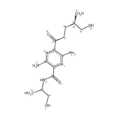 Nc1nc(C(=O)NC(CO)C(=O)O)c(N)nc1C(=O)CC[C@H](CO)C(=O)O